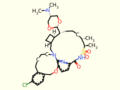 C[C@@H]1[C@@H](C)CCC[C@@H]([C@H]2OC[C@@H](N(C)C)CO2)[C@@H]2CC[C@H]2CN2CCCCc3cc(Cl)ccc3COc3ccc(nc32)C(=O)NS1(=O)=O